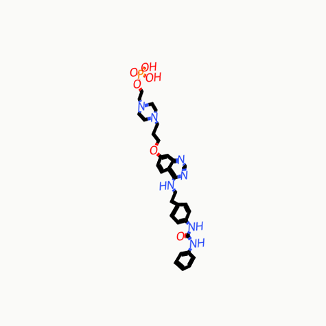 O=C(Nc1ccccc1)Nc1ccc(CCNc2ncnc3cc(OCCCN4CCN(CCOP(=O)(O)O)CC4)ccc23)cc1